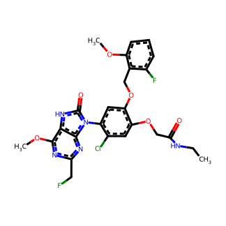 CCNC(=O)COc1cc(Cl)c(-n2c(=O)[nH]c3c(OC)nc(CF)nc32)cc1OCc1c(F)cccc1OC